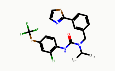 CC(C)N(Cc1cccc(-c2nccs2)c1)C(=O)Nc1ccc(SC(F)(F)F)cc1Cl